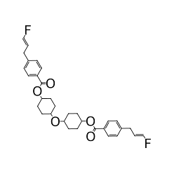 O=C(OC1CCC(OC2CCC(OC(=O)c3ccc(CC=CF)cc3)CC2)CC1)c1ccc(CC=CF)cc1